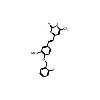 COc1cc(/C=C/c2cc(C(F)(F)F)[nH]c(=O)n2)ccc1OCc1ccccc1F